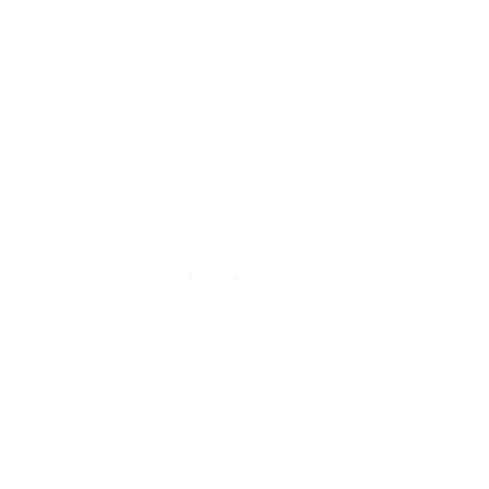 CCc1cc(C(C)(C)C)c(O)c(C(C)(C)C)c1.Cc1ccc(O)cc1